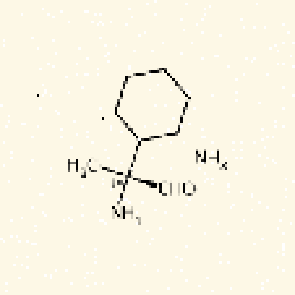 C[C@](N)([C]=O)C1CCCCC1.N